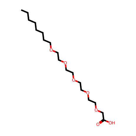 CCCCCCCCOCCOCCOCCOCCOCC(=O)O